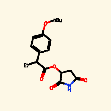 CCCCOc1ccc(C(CC)C(=O)OC2CC(=O)NC2=O)cc1